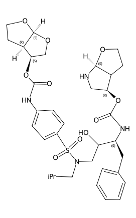 CC(C)CN(CC(O)[C@H](Cc1ccccc1)NC(=O)O[C@H]1CN[C@H]2OCCC12)S(=O)(=O)c1ccc(NC(=O)O[C@@H]2CO[C@@H]3OCC[C@@H]32)cc1